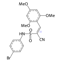 COc1cc(OC)c(/C=C(/C#N)S(=O)(=O)Nc2ccc(Br)cc2)c(OC)c1